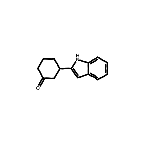 O=C1CCCC(c2cc3ccccc3[nH]2)C1